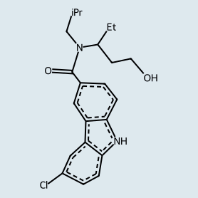 CCC(CCO)N(CC(C)C)C(=O)c1ccc2[nH]c3ccc(Cl)cc3c2c1